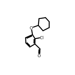 O=Cc1cccc(OC2CCCCC2)c1Cl